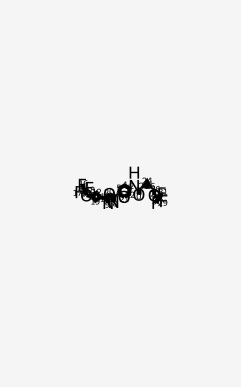 O=C(N[C@@H]1CC[C@@H](c2nnc(C3CC(OC(F)(F)F)C3)o2)OC1)[C@@H]1C[C@H]1COC(F)(F)F